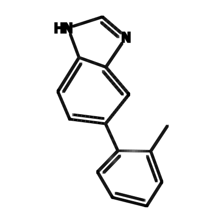 Cc1ccccc1-c1ccc2[nH]cnc2c1